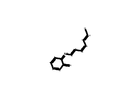 C=C1C=CC=C/C1=N/C=C/C=C\C=C\C